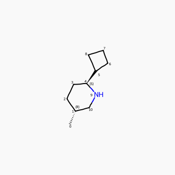 C[C@@H]1CC[C@@H](C2CCC2)NC1